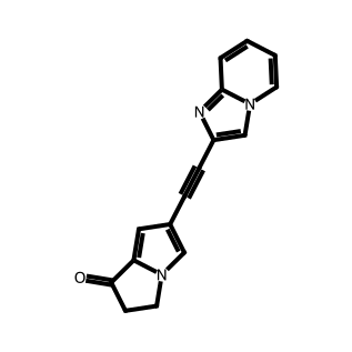 O=C1CCn2cc(C#Cc3cn4ccccc4n3)cc21